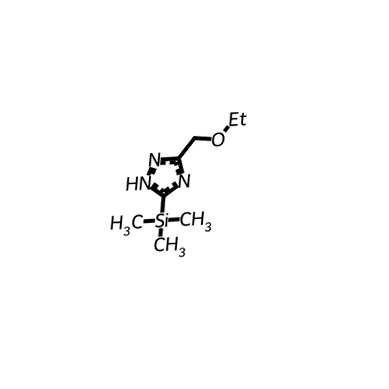 CCOCc1n[nH]c([Si](C)(C)C)n1